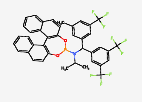 Cc1cc(C(c2cc(C(F)(F)F)cc(C(F)(F)F)c2)N(C(C)C)p2oc3ccc4ccccc4c3c3c(ccc4ccccc43)o2)cc(C(F)(F)F)c1